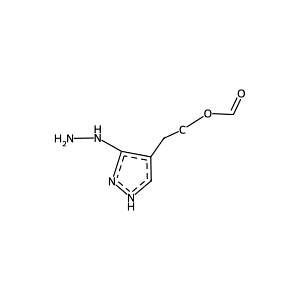 NNc1n[nH]cc1CCOC=O